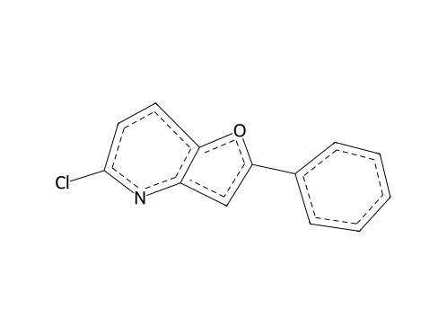 Clc1ccc2oc(-c3ccccc3)cc2n1